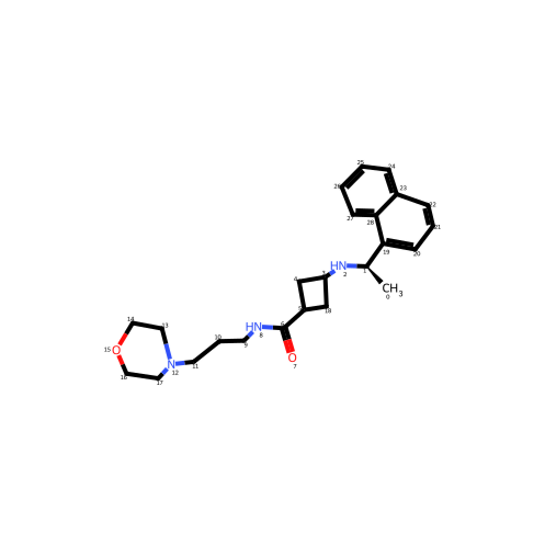 C[C@@H](NC1CC(C(=O)NCCCN2CCOCC2)C1)c1cccc2ccccc12